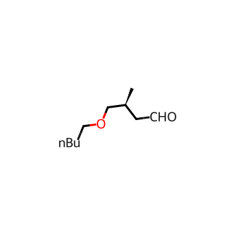 CCCCCOC[C@@H](C)CC=O